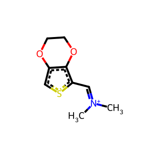 C[N+](C)=Cc1scc2c1OCCO2